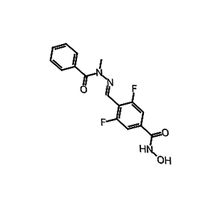 CN(/N=C/c1c(F)cc(C(=O)NO)cc1F)C(=O)c1ccccc1